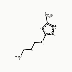 CCOC(=O)c1cc(OCCCOC)n[nH]1